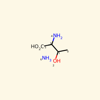 CC(O)C(N)C(=O)O.N